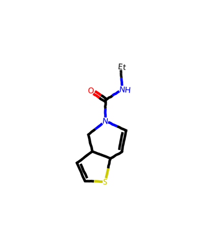 CCNC(=O)N1C=CC2SC=CC2C1